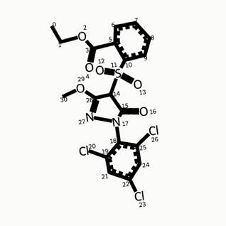 CCOC(=O)c1ccccc1S(=O)(=O)C1C(=O)N(c2c(Cl)cc(Cl)cc2Cl)N=C1OC